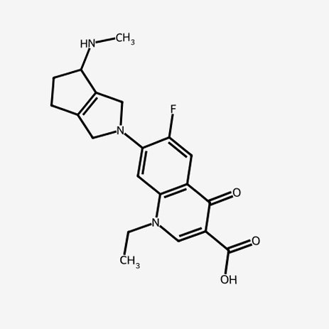 CCn1cc(C(=O)O)c(=O)c2cc(F)c(N3CC4=C(C3)C(NC)CC4)cc21